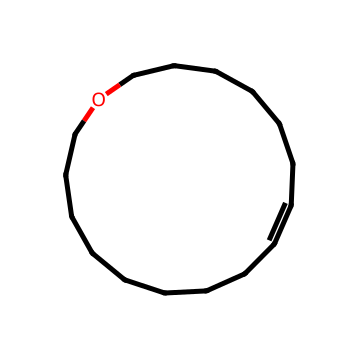 C1=C\CCCCCCOCCCCCCCC/1